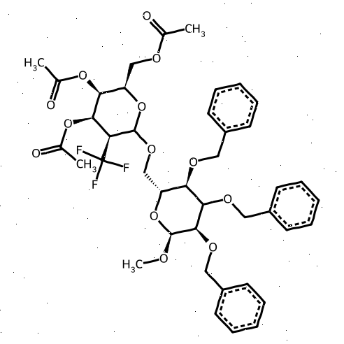 CO[C@H]1O[C@H](COC2O[C@H](COC(C)=O)[C@H](OC(C)=O)[C@H](OC(C)=O)[C@@H]2C(F)(F)F)[C@@H](OCc2ccccc2)C(OCc2ccccc2)[C@H]1OCc1ccccc1